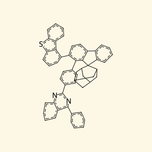 c1ccc(-c2nc(-c3ccc(-c4c(-c5cccc6sc7ccccc7c56)ccc5c4C4(c6ccccc6-5)C5CC6CC(C5)CC4C6)cc3)nc3ccccc23)cc1